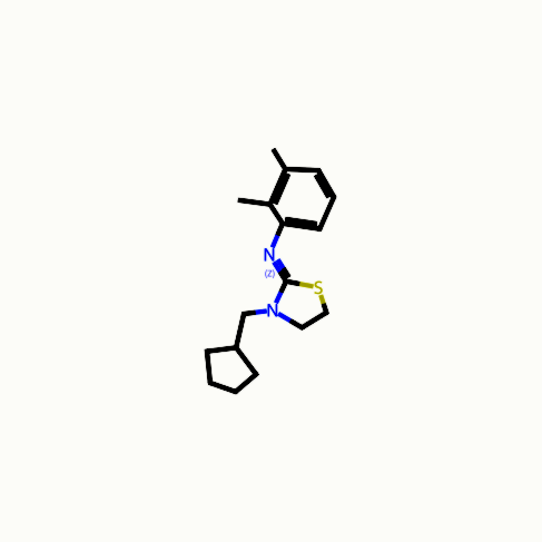 Cc1cccc(/N=C2\SCCN2CC2CCCC2)c1C